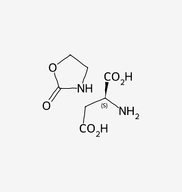 N[C@@H](CC(=O)O)C(=O)O.O=C1NCCO1